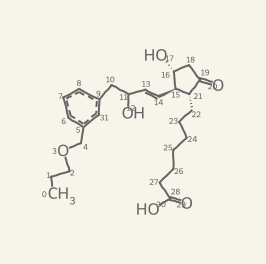 CCCOCc1cccc(CC(O)/C=C/[C@H]2[C@H](O)CC(=O)[C@@H]2CCCCCCC(=O)O)c1